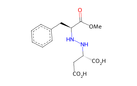 COC(=O)[C@H](Cc1ccccc1)NN[C@@H](CC(=O)O)C(=O)O